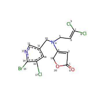 O=C1C=C(N(CC=C(Cl)Cl)Cc2cnc(Br)c(Cl)c2)CO1